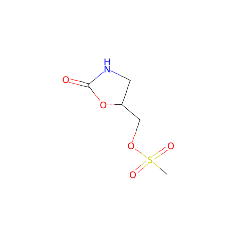 CS(=O)(=O)OCC1CNC(=O)O1